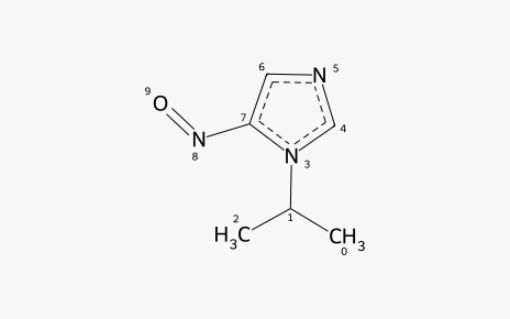 CC(C)n1cncc1N=O